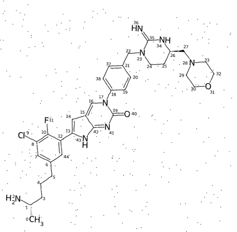 C[C@H](N)CCCc1cc(Cl)c(F)c(-c2cc3cn(-c4ccc(CN5CC[C@H](CN6CCOCC6)NC5=N)cc4)c(=O)nc3[nH]2)c1